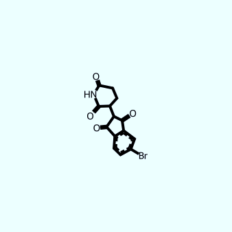 O=C1CCC(C2C(=O)c3ccc(Br)cc3C2=O)C(=O)N1